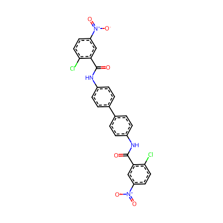 O=C(Nc1ccc(-c2ccc(NC(=O)c3cc([N+](=O)[O-])ccc3Cl)cc2)cc1)c1cc([N+](=O)[O-])ccc1Cl